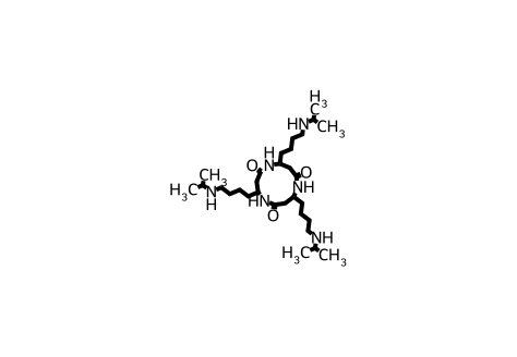 CC(C)NCCCCC1CC(=O)NC(CCCCNC(C)C)CC(=O)NC(CCCCNC(C)C)CC(=O)N1